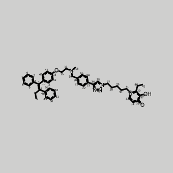 CC/C(=C(\c1ccccc1)c1ccc(OCCN(C)Cc2ccc(-c3cn(CCCCCn4ccc(=O)c(O)c4CC)nn3)cc2)cc1)c1ccccc1